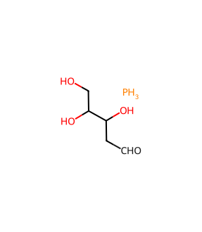 O=CCC(O)C(O)CO.P